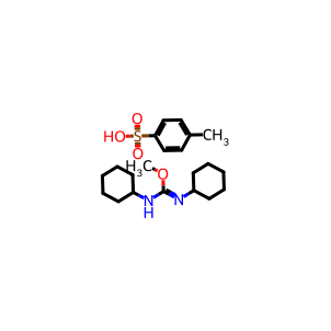 COC(=NC1CCCCC1)NC1CCCCC1.Cc1ccc(S(=O)(=O)O)cc1